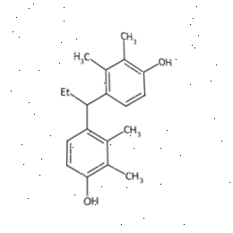 CCC(c1ccc(O)c(C)c1C)c1ccc(O)c(C)c1C